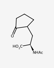 CC(=O)N[C@H](CC1CCCC1=O)C(=O)O